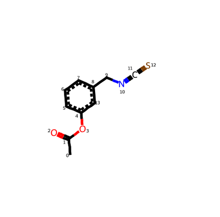 CC(=O)Oc1cccc(CN=C=S)c1